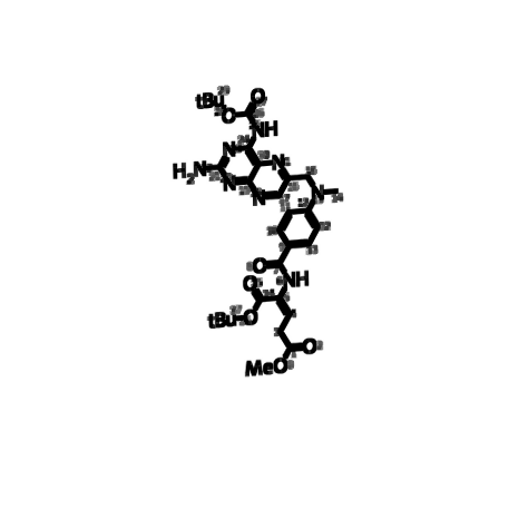 COC(=O)C/C=C(/NC(=O)c1ccc(N(C)Cc2cnc3nc(N)nc(NC(=O)OC(C)(C)C)c3n2)cc1)C(=O)OC(C)(C)C